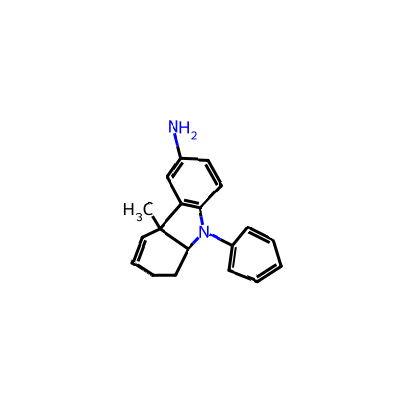 CC12C=CCCC1N(c1ccccc1)c1ccc(N)cc12